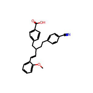 COc1ccccc1C=CC(CCc1ccc(C#N)cc1)Cc1ccc(C(=O)O)cc1